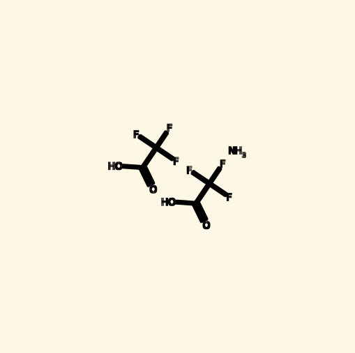 N.O=C(O)C(F)(F)F.O=C(O)C(F)(F)F